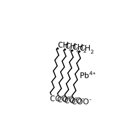 C=CCCCCCCCCC(=O)[O-].C=CCCCCCCCCC(=O)[O-].C=CCCCCCCCCC(=O)[O-].C=CCCCCCCCCC(=O)[O-].[Pb+4]